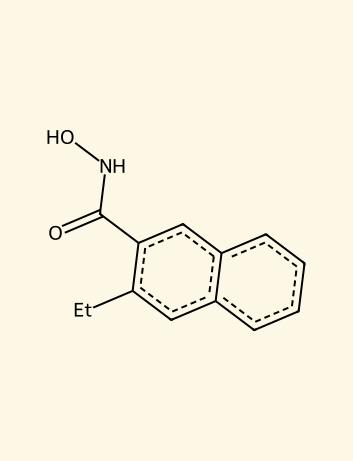 CCc1cc2ccccc2cc1C(=O)NO